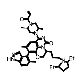 C=CC(=O)N1CC(C)N(c2nc(=O)n3c4c(c(-c5c(C)ccc6[nH]ncc56)c(C)cc24)OCC3CCCN2C(CC)CCC2CC)C[C@H]1C